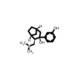 CN(C)C[C@H]1[C@@H]2CC[C@@H](C2)C[C@]1(O)c1cccc(O)c1